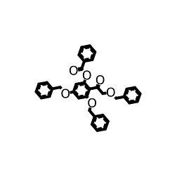 O=C(Oc1cc(OCc2ccccc2)cc(OCc2ccccc2)c1C(=O)COCc1ccccc1)c1ccccc1